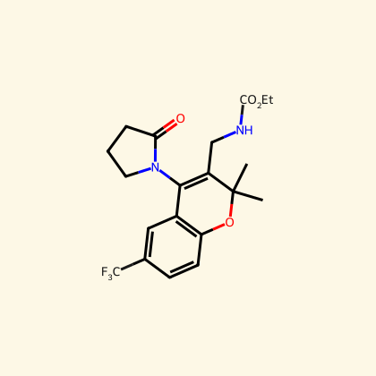 CCOC(=O)NCC1=C(N2CCCC2=O)c2cc(C(F)(F)F)ccc2OC1(C)C